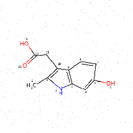 Cc1[nH]c2cc(O)ccc2c1CC(=O)O